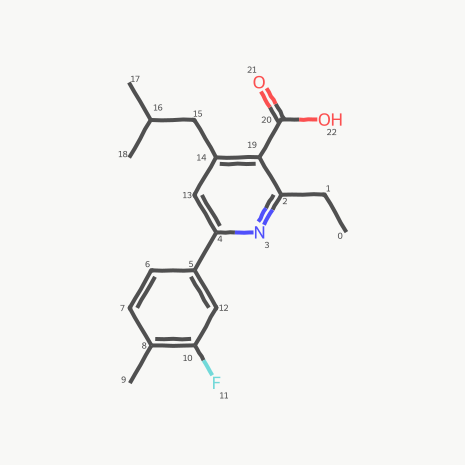 CCc1nc(-c2ccc(C)c(F)c2)cc(CC(C)C)c1C(=O)O